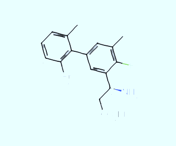 CCOC(=O)C[C@H](N)c1cc(-c2c(C)cccc2CC)cc(C)c1F